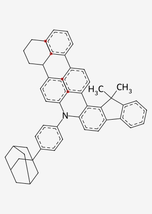 CC1(C)c2ccccc2-c2ccc(N(c3ccc(C4CCCCC4)cc3)c3ccc(C45CC6CC(CC(C6)C4)C5)cc3)c(-c3ccc(-c4ccccc4)cc3)c21